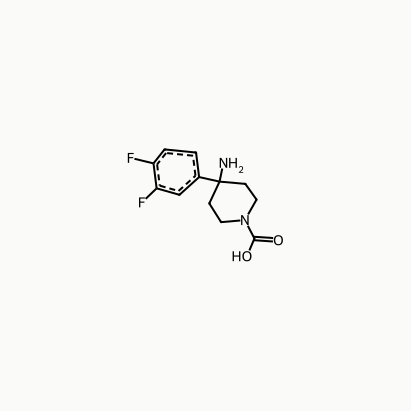 NC1(c2ccc(F)c(F)c2)CCN(C(=O)O)CC1